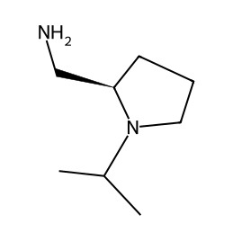 CC(C)N1CCC[C@@H]1CN